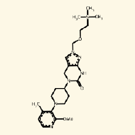 COc1nccc(C)c1N1CCC(N2Cc3cn(COCC[Si](C)(C)C)nc3NC2=O)CC1